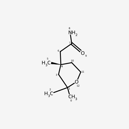 CC1(C)C[C@](C)(CC(N)=O)CCO1